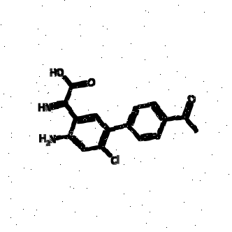 CC(=O)c1ccc(-c2cc(C(=N)C(=O)O)c(N)cc2Cl)cc1